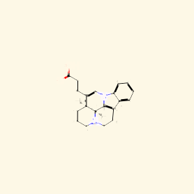 O=C(O)CCC1=Cn2c3c(c4ccccc42)CCN2CCC[C@H]1[C@H]32